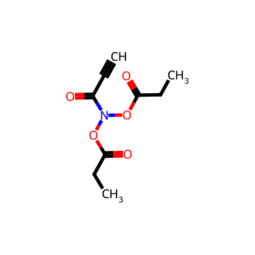 C#CC(=O)N(OC(=O)CC)OC(=O)CC